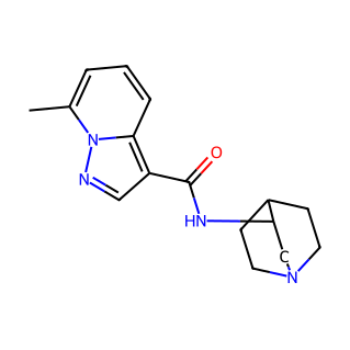 Cc1cccc2c(C(=O)NC3CN4CCC3CC4)cnn12